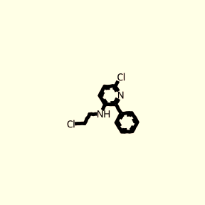 ClCCNc1ccc(Cl)nc1-c1ccccc1